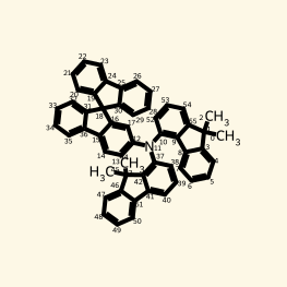 CC1(C)c2ccccc2-c2c(N(c3ccc4c(c3)C3(c5ccccc5-c5ccccc53)c3ccccc3-4)c3cccc4c3C(C)(C)c3ccccc3-4)cccc21